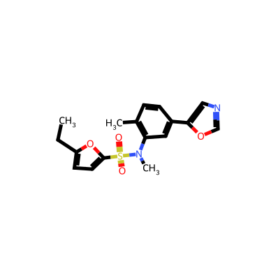 CCc1ccc(S(=O)(=O)N(C)c2cc(-c3cnco3)ccc2C)o1